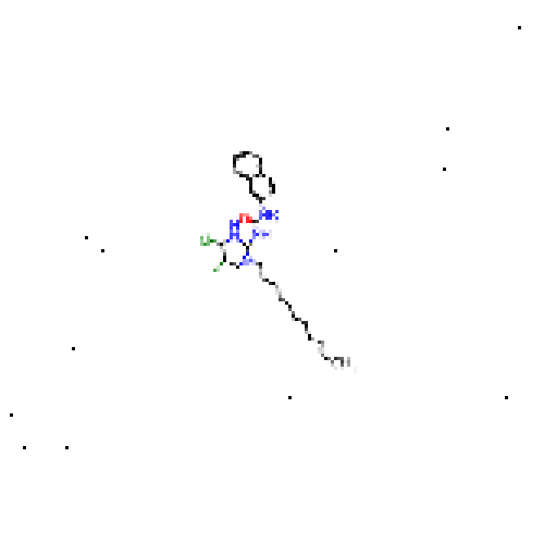 CCCCCCCCCCCN1CC(F)C(Cl)NC1NC(=O)Nc1ccc2ccccc2c1